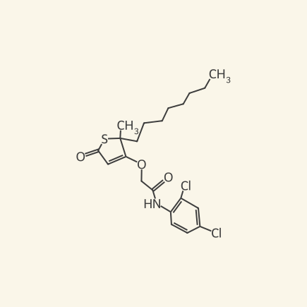 CCCCCCCCC1(C)SC(=O)C=C1OCC(=O)Nc1ccc(Cl)cc1Cl